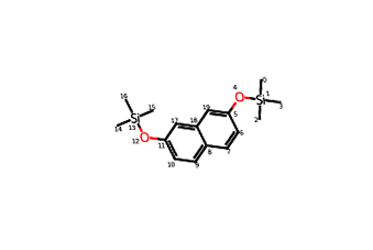 C[Si](C)(C)Oc1ccc2ccc(O[Si](C)(C)C)cc2c1